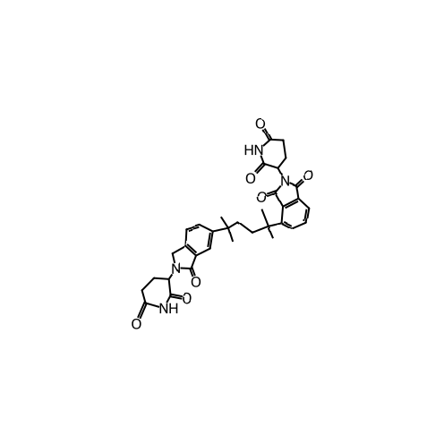 CC(C)(CCC(C)(C)c1cccc2c1C(=O)N(C1CCC(=O)NC1=O)C2=O)c1ccc2c(c1)C(=O)N(C1CCC(=O)NC1=O)C2